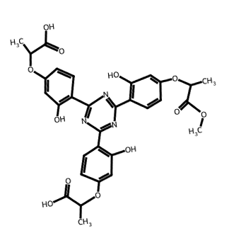 COC(=O)C(C)Oc1ccc(-c2nc(-c3ccc(OC(C)C(=O)O)cc3O)nc(-c3ccc(OC(C)C(=O)O)cc3O)n2)c(O)c1